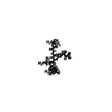 CC(C)C[C@H](NC(=O)[C@H](CCCNC(=N)N[N+](=O)[O-])NC(=O)CCNC(=O)OC(C)(C)C)B1O[C@@H]2C[C@@H]3C[C@@H](C3(C)C)[C@]2(C)O1